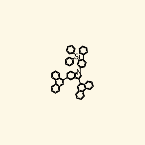 c1ccc([Si]2(c3ccccc3)c3ccccc3-c3ccc(-n4cc(-c5cc6ccccc6c6ccccc56)c5cc(-c6cc7ccccc7c7ccccc67)ccc54)cc32)cc1